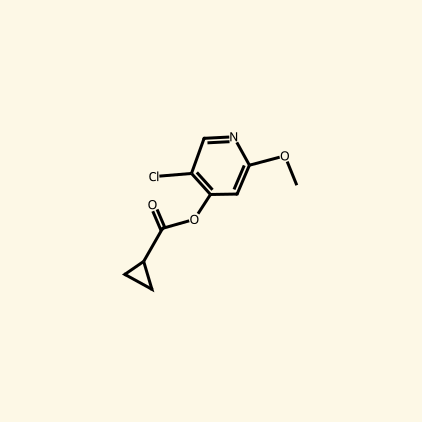 COc1cc(OC(=O)C2CC2)c(Cl)cn1